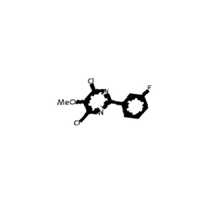 COc1c(Cl)nc(-c2cccc(F)c2)nc1Cl